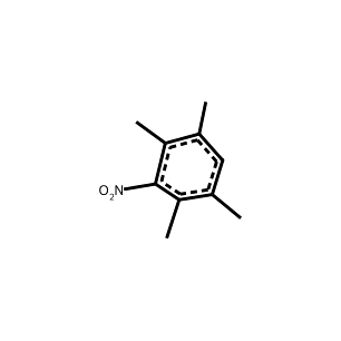 Cc1cc(C)c(C)c([N+](=O)[O-])c1C